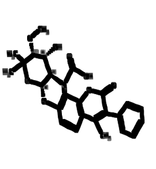 CO[C@@H]1[C@H](O)[C@@H](NC(=O)O)[C@H](Oc2ccc3c(C)c(-c4ccccc4)c(=O)oc3c2)OC1(C)C